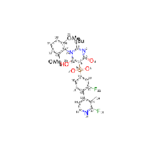 CCCCc1nc(=O)c(S(=O)(=O)c2ccc(-c3ccnc(F)c3C)c(F)c2)c(O)n1-c1c(OC)cccc1OC